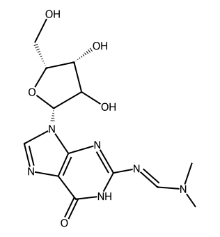 CN(C)C=Nc1nc2c(ncn2[C@@H]2O[C@H](CO)[C@H](O)C2O)c(=O)[nH]1